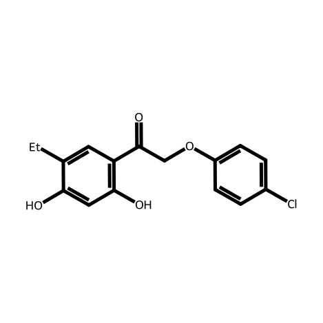 CCc1cc(C(=O)COc2ccc(Cl)cc2)c(O)cc1O